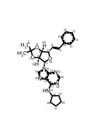 CC1(C)O[C@@H]2[C@H](O1)[C@@H](C=Cc1ccccc1)O[C@H]2n1cnc2c(NC3CCCC3)ncnc21